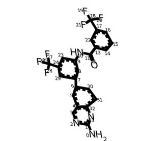 Nc1ncc2cc(-c3cc(NC(=O)c4cccc(C(F)(F)F)c4)cc(C(F)(F)F)c3)ccc2n1